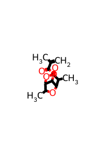 C=C(C)C(=O)OC1C2OC(=O)C(C)C1OC2C